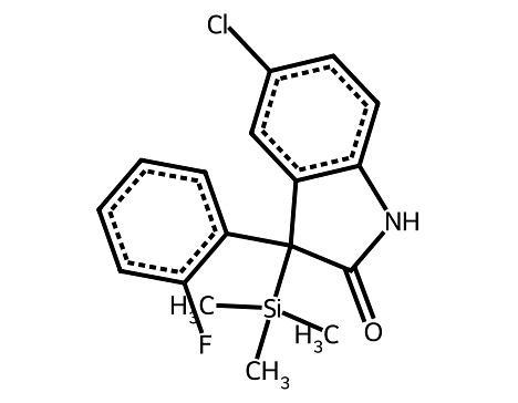 C[Si](C)(C)C1(c2ccccc2F)C(=O)Nc2ccc(Cl)cc21